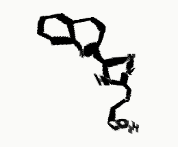 O=C(O)CSc1nnc(-c2ccc3ccccc3n2)[nH]1